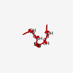 CCCCCCCCCCCC[N+](C)(CCC)CC(O)(c1ccccc1)c1ccc(OCCCCCCOc2ccc(C(O)(CCCCCCCCC[Si]34OC5CC6C7C8C9CC%10O[Si]%11(CCCCCCCCC(O)(c%12ccccc%12)c%12ccc(OCCCCCCOc%13ccc(C(O)(C[N+](C)(CCC)CCCCCCCCCCCC)c%14ccccc%14)cc%13)cc%12)OC%109C8(O%11)C7(O3)C56O4)c3ccccc3)cc2)cc1